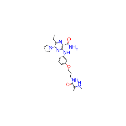 CCc1nc(C(N)=O)c(Nc2cccc(OCCCNC(=O)[C@H](C)NC)c2)nc1N1CCCC1